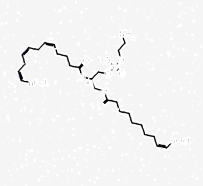 CCCCCCCC/C=C\C/C=C\C/C=C\CCCC(=O)O[C@H](COC(=O)CCCCCCC/C=C\CCCCCCCC)COP(=O)(O)OCCN